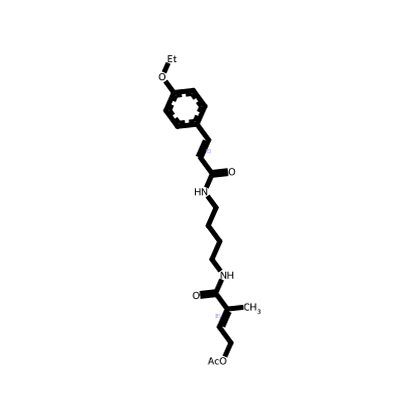 CCOc1ccc(/C=C/C(=O)NCCCCNC(=O)/C(C)=C/COC(C)=O)cc1